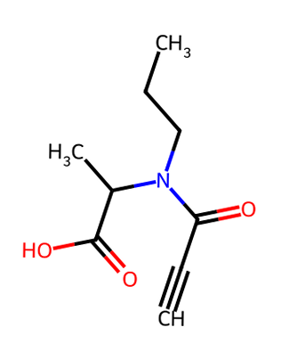 C#CC(=O)N(CCC)C(C)C(=O)O